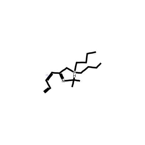 C=C/C=C\C1=NC(C)(C)[PH](CCCC)(CCCC)C1